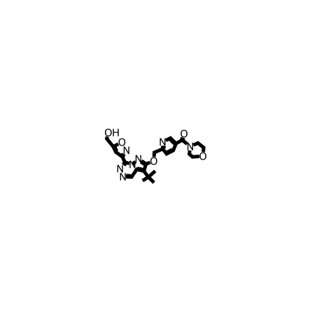 CC(C)(C)c1c(OCc2ccc(C(=O)N3CCOCC3)cn2)nn2c(-c3cc(CO)on3)nncc12